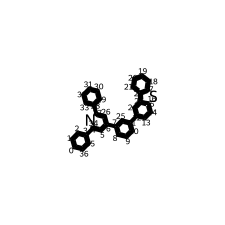 c1ccc(-c2cc(-c3cccc(-c4ccc5sc6ccccc6c5c4)c3)cc(-c3ccccc3)n2)cc1